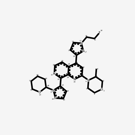 CC1COCCN1c1cc(-c2ccn(CCF)n2)c2ccnc(-c3ccnn3C3CCCCO3)c2n1